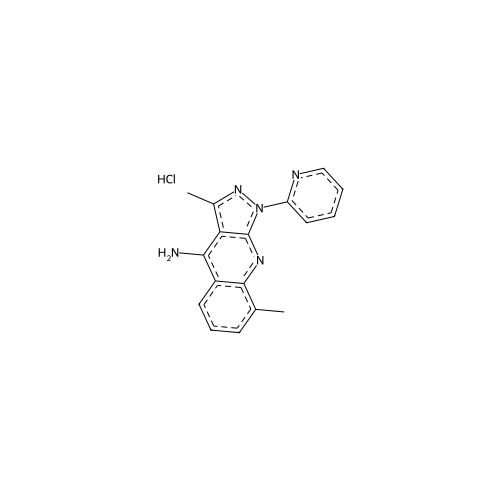 Cc1cccc2c(N)c3c(C)nn(-c4ccccn4)c3nc12.Cl